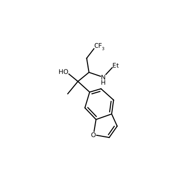 CCNC(CC(F)(F)F)C(C)(O)c1ccc2ccoc2c1